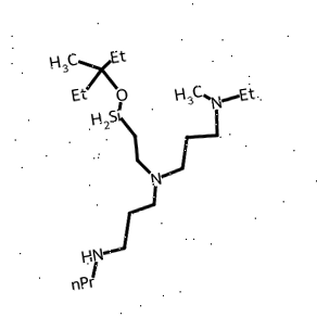 CCCNCCCN(CCCN(C)CC)CC[SiH2]OC(C)(CC)CC